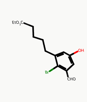 CCOC(=O)CCCCc1cc(O)cc(C=O)c1Br